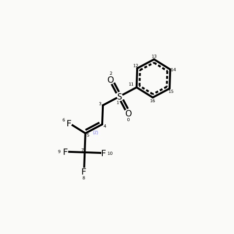 O=S(=O)(C/C=C(\F)C(F)(F)F)c1ccccc1